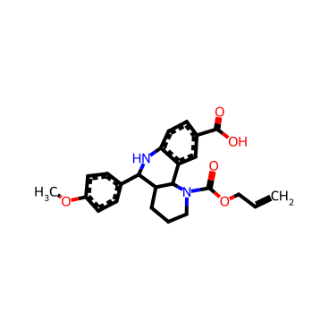 C=CCOC(=O)N1CCCC2C(c3ccc(OC)cc3)Nc3ccc(C(=O)O)cc3C21